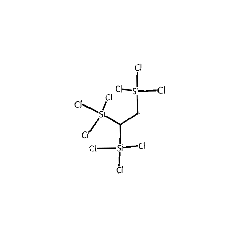 Cl[Si](Cl)(Cl)[CH]C([Si](Cl)(Cl)Cl)[Si](Cl)(Cl)Cl